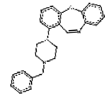 C1=Nc2ccccc2Oc2cccc(N3CCN(Cc4ccccc4)CC3)c21